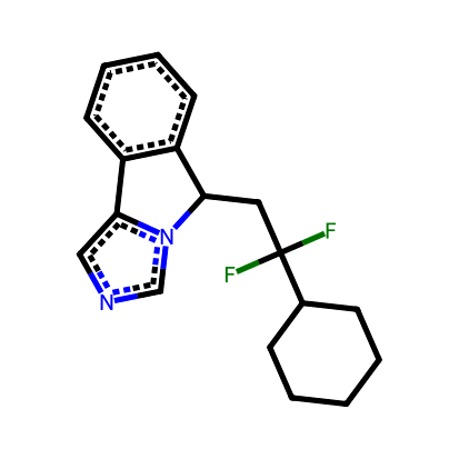 FC(F)(CC1c2ccccc2-c2cncn21)C1CCCCC1